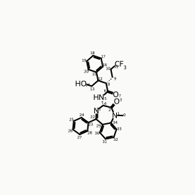 CN1C(=O)[C@@H](NC(=O)[C@@H](CCC(F)(F)F)C(CO)c2ccccc2)N=C(c2ccccc2)c2ccccc21